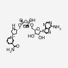 NC(=O)c1ccc[n+](C2CN[C@H](COP(=O)(O)OP(=O)(O)OC[C@H]3O[C@@H](n4cnc5c(N)ncnc54)[C@H](O)[C@@H]3O)C2)c1